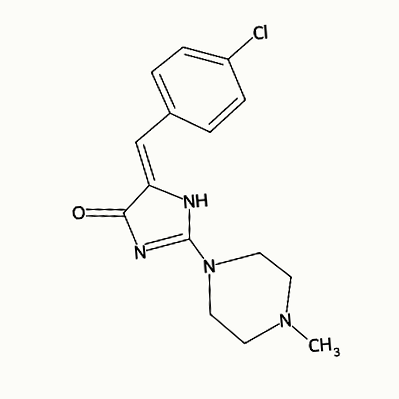 CN1CCN(C2=NC(=O)C(=Cc3ccc(Cl)cc3)N2)CC1